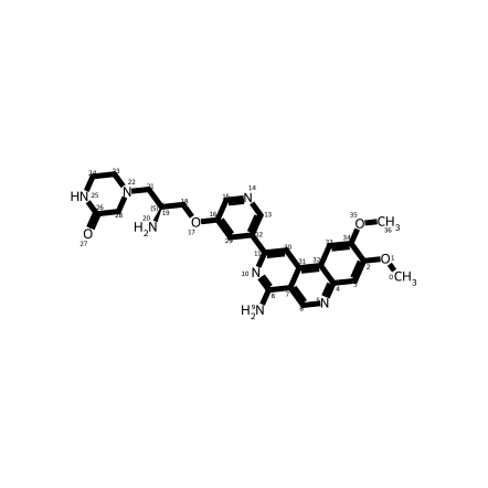 COc1cc2ncc3c(N)nc(-c4cncc(OC[C@@H](N)CN5CCNC(=O)C5)c4)cc3c2cc1OC